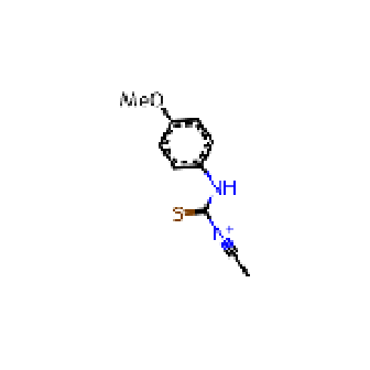 CC#[N+]C(=S)Nc1ccc(OC)cc1